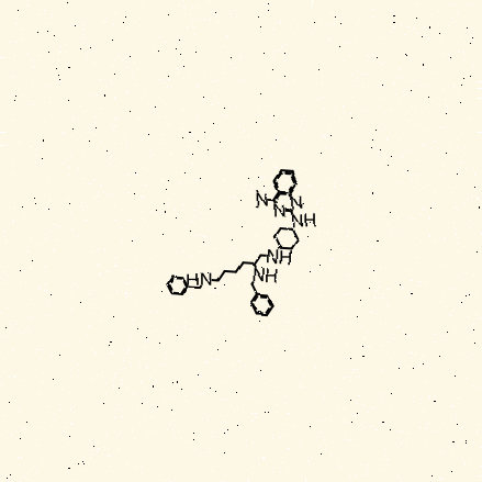 CN(C)c1nc(N[C@H]2CC[C@@H](NCC(CCCCNCc3ccccc3)NCc3ccccc3)CC2)nc2ccccc12